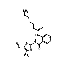 Cc1nc(NC(=O)c2ccccc2NC(=O)CCCCCN)sc1N=O